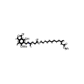 [CH2]C([CH2])OC(=O)CC(C)CCCCCCCCCOC(=O)CC/C(C)=C/Cc1c(O)c2c(c(C)c1OC)COC2=O